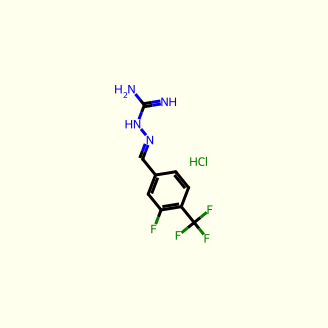 Cl.N=C(N)NN=Cc1ccc(C(F)(F)F)c(F)c1